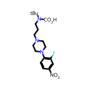 CC(C)(C)N(CCCN1CCN(c2ccc([N+](=O)[O-])cc2F)CC1)C(=O)O